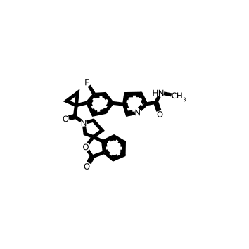 CNC(=O)c1ccc(-c2ccc(C3(C(=O)N4CCC5(C4)OC(=O)c4ccccc45)CC3)c(F)c2)cn1